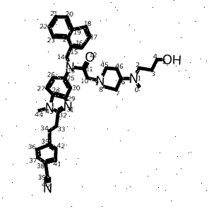 CN(CCCO)C1CCN(CC(=O)N(Cc2cccc3ccccc23)c2ccc3c(c2)nc(CCc2ccc(C#N)cc2)n3C)CC1